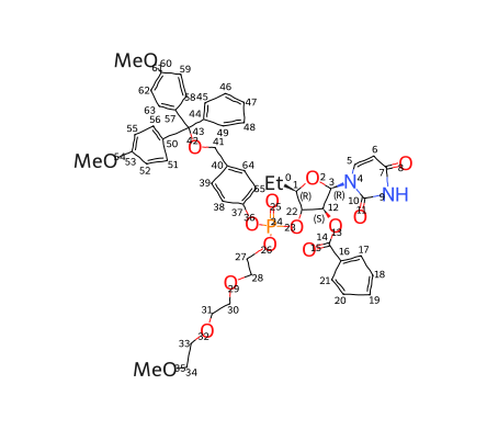 CC[C@H]1O[C@@H](n2ccc(=O)[nH]c2=O)[C@@H](OC(=O)c2ccccc2)C1OP(=O)(OCCOCCOCCOC)Oc1ccc(COC(c2ccccc2)(c2ccc(OC)cc2)c2ccc(OC)cc2)cc1